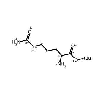 CC(C)(C)OC(=O)[C@@H](N)CCCNC(N)=O